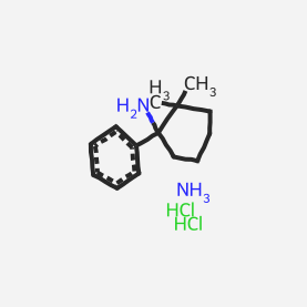 CC1(C)CCCCC1(N)c1ccccc1.Cl.Cl.N